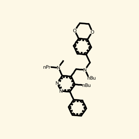 CCCCc1c(-c2ccccc2)nnc(N(C)CCC)c1CN(CCCC)Cc1ccc2c(c1)OCCO2